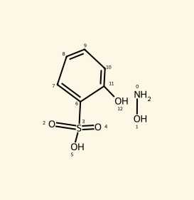 NO.O=S(=O)(O)c1ccccc1O